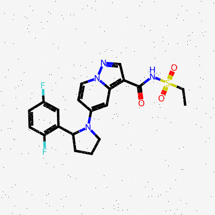 CCS(=O)(=O)NC(=O)c1cnn2ccc(N3CCCC3c3cc(F)ccc3F)cc12